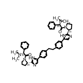 CN(C)[C@@H](C(=O)N1CCC[C@H]1c1ncc(-c2ccc(CCc3ccc(-c4cnc([C@@H]5CCCN5C(=O)[C@@H](c5ccccc5)N(C)C)[nH]4)cc3)cc2)[nH]1)c1ccccc1